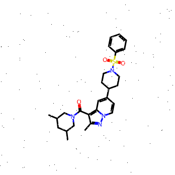 Cc1nn2ccc(C3CCN(S(=O)(=O)c4ccccc4)CC3)cc2c1C(=O)N1CC(C)CC(C)C1